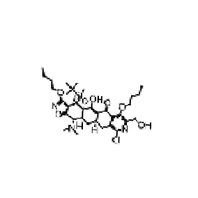 CCCCOc1noc2c1C(=O)[C@@]1(O[Si](C)(C)C(C)(C)C)C(O)=C3C(=O)c4c(c(Cl)nc(CO)c4OCCCC)C[C@H]3C[C@H]1[C@@H]2N(C)C